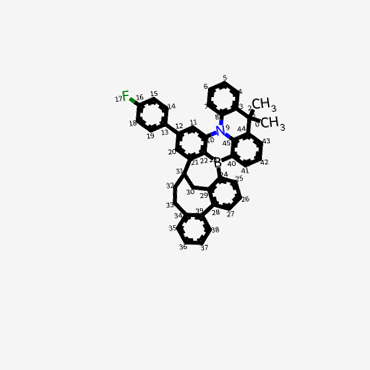 CC1(C)c2ccccc2N2c3cc(-c4ccc(F)cc4)cc4c3B(c3cccc5c3CC4CCc3ccccc3-5)c3cccc1c32